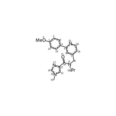 COc1ccc(-c2cc(CN(C(=O)c3cn(C)cn3)C(C)C)ccn2)cc1